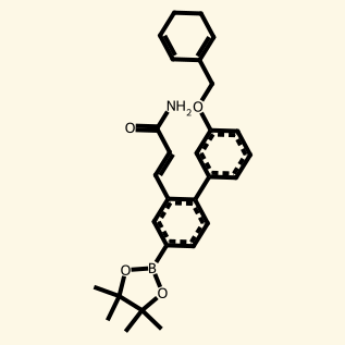 CC1(C)OB(c2ccc(-c3cccc(OCC4=CCCC=C4)c3)c(/C=C/C(N)=O)c2)OC1(C)C